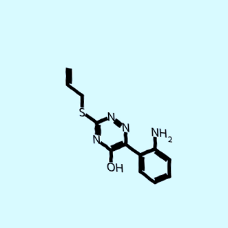 C=CCSc1nnc(-c2ccccc2N)c(O)n1